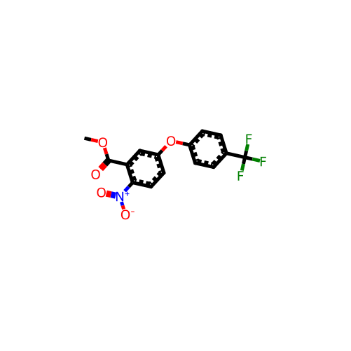 COC(=O)c1cc(Oc2ccc(C(F)(F)F)cc2)ccc1[N+](=O)[O-]